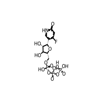 O=c1cc(F)c([C@@H]2O[C@H](COP(=O)(O)OP(=O)(O)OP(=O)(O)O)C(O)[C@@H]2O)c[nH]1